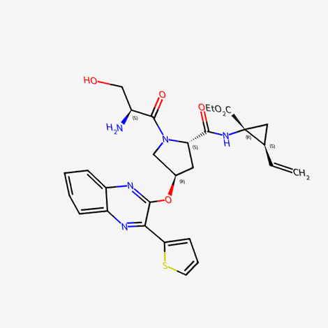 C=C[C@@H]1C[C@]1(NC(=O)[C@@H]1C[C@@H](Oc2nc3ccccc3nc2-c2cccs2)CN1C(=O)[C@@H](N)CO)C(=O)OCC